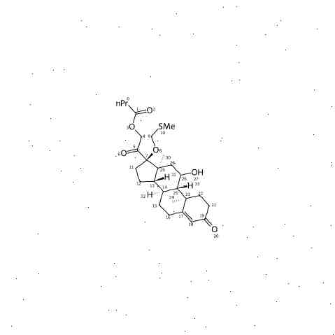 CCCC(=O)OCC(=O)[C@@]1(OCSC)CC[C@H]2[C@@H]3CCC4=CC(=O)CC[C@]4(C)[C@H]3C(O)C[C@@]21C